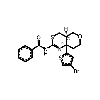 O=C(NC1=N[C@@]2(c3cc(Br)cs3)CCOC[C@H]2CS1)c1ccccc1